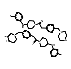 C[C@@H]1CN(Cc2ccc(CC(=O)N3CCC(Nc4cccc(F)c4)CC3)cc2)CCN1.O=C(Cc1ccc(CN2CCNCC2)cc1)N1CCC(Nc2cccc(F)c2)CC1